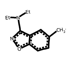 [CH2]c1ccc2onc(N(CC)CC)c2c1